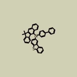 CC1(C)c2ccccc2-c2c1cc1ccccc1c2N(c1ccc(-c2ccccc2)cc1)c1ccc2sc3ccccc3c2c1